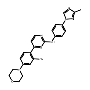 Cc1ncn(-c2ccc(Nc3nccc(-c4ccc(N5CCOCC5)cc4C#N)n3)cc2)n1